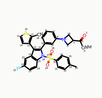 COC(=O)C1CN(c2cccc(-c3c(-c4ccsc4C#N)c4cc(F)ccc4n3S(=O)(=O)c3ccc(C)cc3)c2)C1